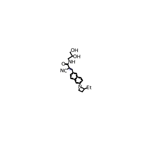 CCC1CCN1c1ccc2cc(/C=C(\C#N)C(=O)NCC(O)CO)ccc2c1